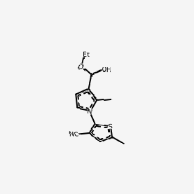 CCOC(O)c1ccn(-c2sc(C)cc2C#N)c1C